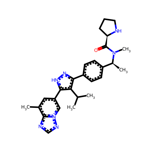 Cc1cc(-c2[nH]nc(-c3ccc([C@H](C)N(C)C(=O)[C@H]4CCCN4)cc3)c2C(C)C)cn2ncnc12